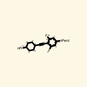 CCCCCc1cc(F)c(C#CC2CCC(CCC)CC2)c(F)c1